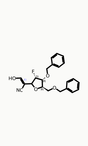 N#C/C(=C\O)C1O[C@H](COCc2ccccc2)[C@@H](OCc2ccccc2)[C@H]1F